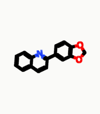 c1ccc2nc(-c3ccc4c(c3)OCO4)ccc2c1